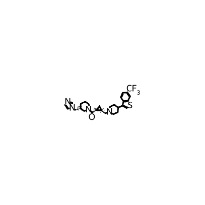 O=C([C@@H]1C[C@H]1CN1CCC(c2csc3cc(C(F)(F)F)ccc23)CC1)N1CCC[C@@H](Cn2ccnc2)C1